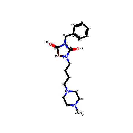 CN1CCN(CCCCn2sc(=O)n(Cc3ccccc3)c2=O)CC1